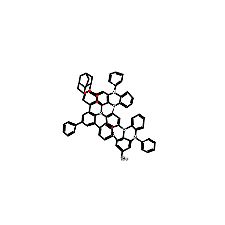 CC(C)(C)c1cc2c3c(c1)N(c1ccccc1)c1ccccc1B3c1cc3c(cc1O2)N(c1c(-c2ccccc2)cc(-c2ccccc2)cc1-c1ccccc1)c1cc(N2C4CC5CC(C4)CC2C5)cc2c1B3c1ccccc1N2c1ccccc1